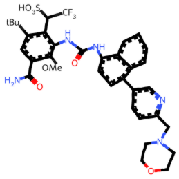 COc1c(C(N)=O)cc(C(C)(C)C)c(C(C(F)(F)F)S(=O)(=O)O)c1NC(=O)Nc1ccc(-c2ccc(CN3CCOCC3)nc2)c2ccccc12